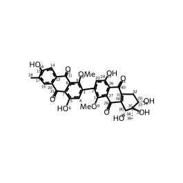 COc1c(-c2cc(O)c3c(c2OC)C(=O)c2cc(O)c(C)cc2C3=O)cc(O)c2c1C(=O)C1=C(C[C@H](O)[C@@](C)(O)[C@@H]1O)C2=O